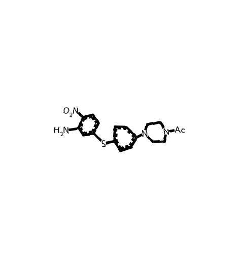 CC(=O)N1CCN(c2ccc(Sc3ccc([N+](=O)[O-])c(N)c3)cc2)CC1